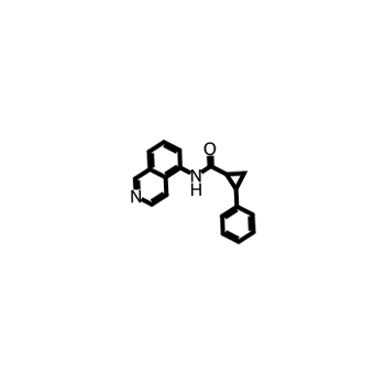 O=C(Nc1cccc2cnccc12)C1CC1c1ccccc1